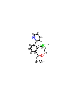 CNC[C@@H]1OCCCc2c(-c3ccccn3)cccc21.Cl